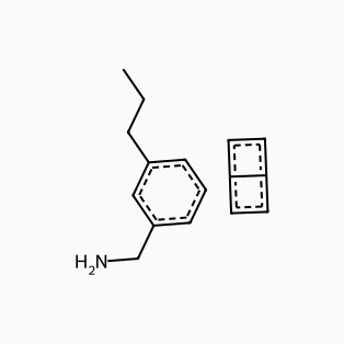 CCCc1cccc(CN)c1.c1cc2ccc1-2